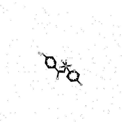 O=[N+]([O-])c1ccc(/C(Cl)=C\S(F)(F)(F)(F)c2ccc(Br)cn2)cc1